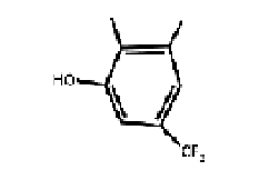 Cc1cc(C(F)(F)F)cc(O)c1C